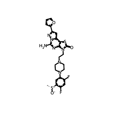 C[S@@+]([O-])c1cc(N2CCN(CCn3c(=O)sc4c3nc(N)n3nc(-c5ccco5)cc43)CC2)c(F)cc1F